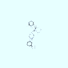 Cc1cccc(CC2(O)CCCCC2CN2CCN(c3cccc(Cl)c3)CC2)c1